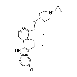 CC(C)CC1c2[nH]c3ccc(Cl)cc3c2CCN1C(=O)COC1CCN(C2CC2)CC1